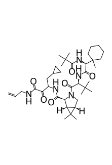 C=CCNC(=O)C(=O)C(CC1CC1)NC(=O)[C@@H]1[C@@H]2[C@H](CN1C(=O)[C@@H](NC(=O)[C@@H](NC(=O)C(C)(C)C)C1(C)CCCCC1)C(C)(C)C)C2(C)C